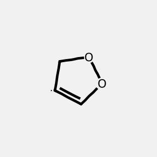 [C]1=COOC1